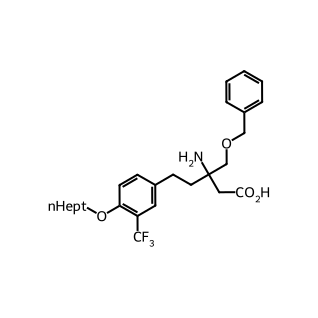 CCCCCCCOc1ccc(CCC(N)(COCc2ccccc2)CC(=O)O)cc1C(F)(F)F